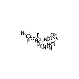 CCn1cncc1Cn1c(CN2CCC(Oc3ccc(F)c(COc4ccc(C#N)cc4F)n3)CC2)nc2ccc(C3C#CC3C(=O)O)cc21